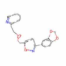 c1ccc(COCc2cc(-c3ccc4c(c3)OCO4)no2)nc1